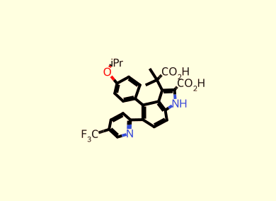 CC(C)Oc1ccc(-c2c(-c3ccc(C(F)(F)F)cn3)ccc3[nH]c(C(=O)O)c(C(C)(C)C(=O)O)c23)cc1